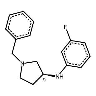 Fc1cccc(N[C@H]2CCN(Cc3ccccc3)C2)c1